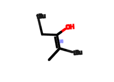 C/C(=C(/O)CC(C)(C)C)C(C)(C)C